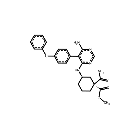 COC(=O)[C@]1(C(N)=O)CCC[C@@H](Nc2ncnc(N)c2-c2ccc(Oc3ccccc3)cc2)C1